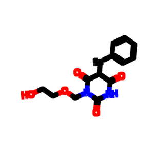 O=C1NC(=O)N(COCCO)C(=O)C1[Se]c1ccccc1